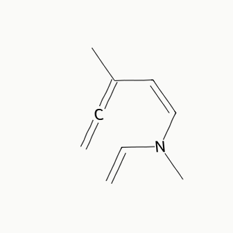 C=C=C(C)/C=C\N(C)C=C